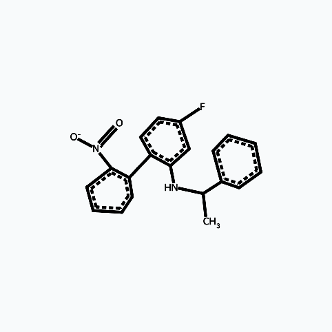 CC(Nc1cc(F)ccc1-c1ccccc1[N+](=O)[O-])c1ccccc1